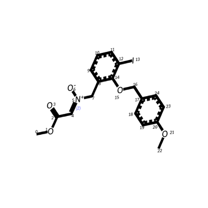 COC(=O)/C=[N+](\[O-])Cc1cccc(I)c1OCc1ccc(OC)cc1